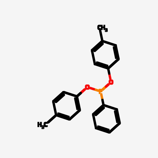 Cc1ccc(OP(Oc2ccc(C)cc2)c2ccccc2)cc1